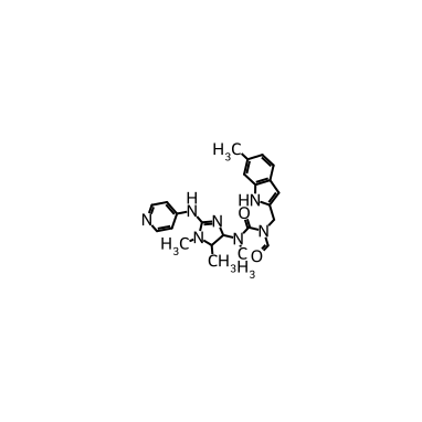 Cc1ccc2cc(CN(C=O)C(=O)N(C)C3N=C(Nc4ccncc4)N(C)C3C)[nH]c2c1